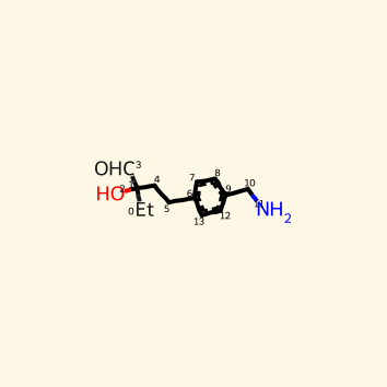 CCC(O)(C=O)CCc1ccc(CN)cc1